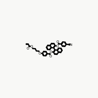 C=CC(=O)OCCCCOc1ccc(C(=O)Oc2ccc3ccccc3c2-c2c(OC(=O)c3ccc(C#N)cc3)ccc3ccccc23)cc1